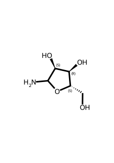 NC1O[C@@H](CO)[C@H](O)[C@@H]1O